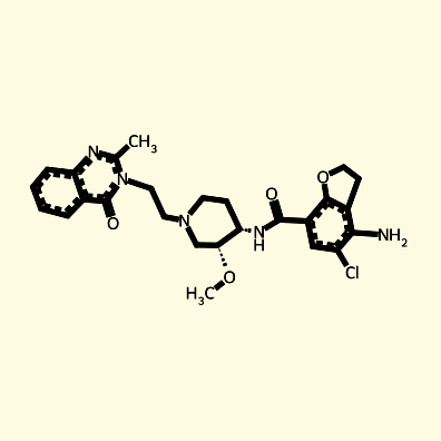 CO[C@@H]1CN(CCn2c(C)nc3ccccc3c2=O)CC[C@@H]1NC(=O)c1cc(Cl)c(N)c2c1OCC2